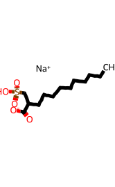 CCCCCCCCCCC(CS(=O)(=O)O)C(=O)[O-].[Na+]